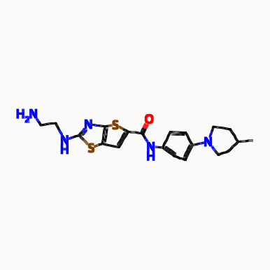 CC1CCN(c2ccc(NC(=O)c3cc4sc(NCCN)nc4s3)cc2)CC1